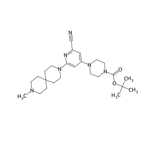 CN1CCC2(CC1)CCN(c1cc(N3CCN(C(=O)OC(C)(C)C)CC3)cc(C#N)n1)CC2